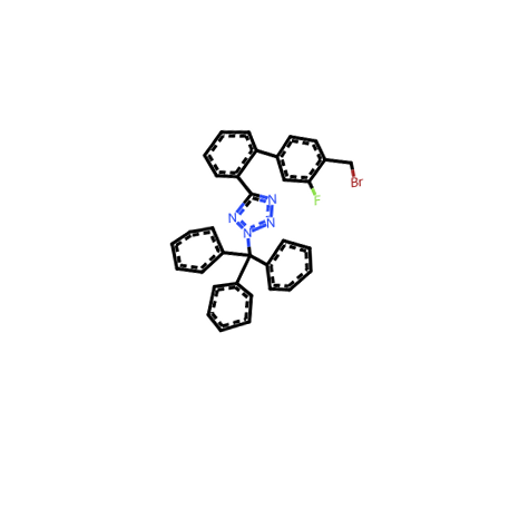 Fc1cc(-c2ccccc2-c2nnn(C(c3ccccc3)(c3ccccc3)c3ccccc3)n2)ccc1CBr